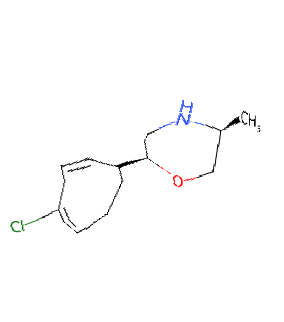 C[C@H]1CO[C@@H](C2C=CC(Cl)=CC2)CN1